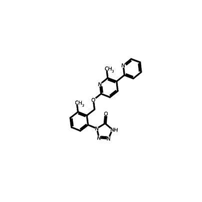 Cc1cccc(-n2nn[nH]c2=O)c1COc1ccc(-c2ccccn2)c(C)n1